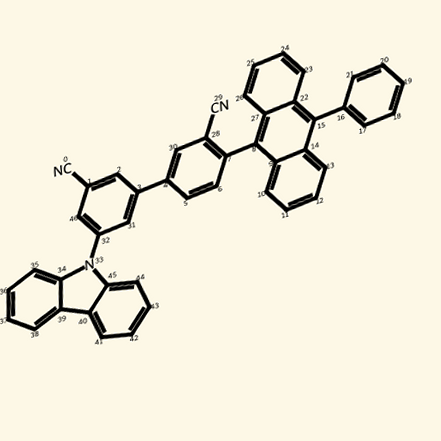 N#Cc1cc(-c2ccc(-c3c4ccccc4c(-c4ccccc4)c4ccccc34)c(C#N)c2)cc(-n2c3ccccc3c3ccccc32)c1